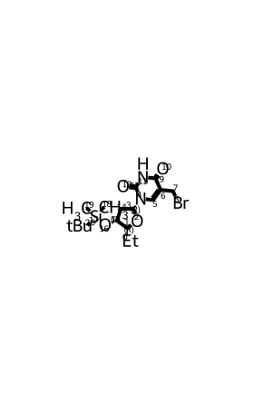 CC[C@H]1O[C@@H](n2cc(CBr)c(=O)[nH]c2=O)C[C@H]1O[Si](C)(C)C(C)(C)C